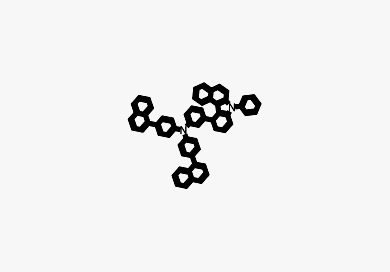 C1=Cc2c(c3c4ccccc4ccc3n2-c2ccccc2)C(c2cccc(N(c3ccc(-c4cccc5ccccc45)cc3)c3ccc(-c4cccc5ccccc45)cc3)c2)C1